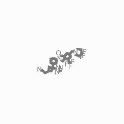 C[C@H]1CN(Cc2cc3c(c(C(F)(F)F)c2)CN(c2cccc(C4(c5nncn5C)CC(CC#N)C4)c2)C3=O)CCC1(F)F